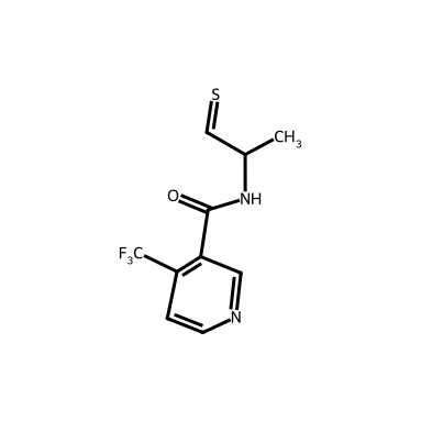 CC(C=S)NC(=O)c1cnccc1C(F)(F)F